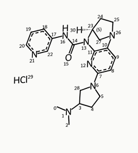 CN(C)C1CCN(c2ccc3c(n2)N(C(=O)Nc2cccnc2)[C@H]2CCN3C2)C1.Cl